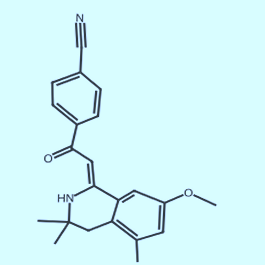 COc1cc(C)c2c(c1)C(=CC(=O)c1ccc(C#N)cc1)NC(C)(C)C2